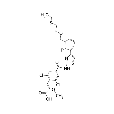 CCSCCOCc1cccc(-c2csc(NC(=O)c3cc(Cl)c(C=C(OC)C(=O)O)c(Cl)c3)n2)c1F